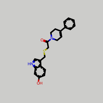 O=C(CSCc1c[nH]c2cc(O)ccc12)N1CC=C(c2ccccc2)CC1